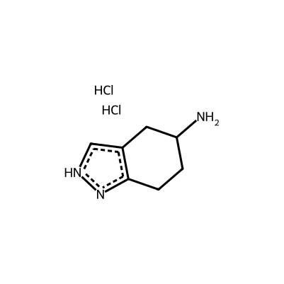 Cl.Cl.NC1CCc2n[nH]cc2C1